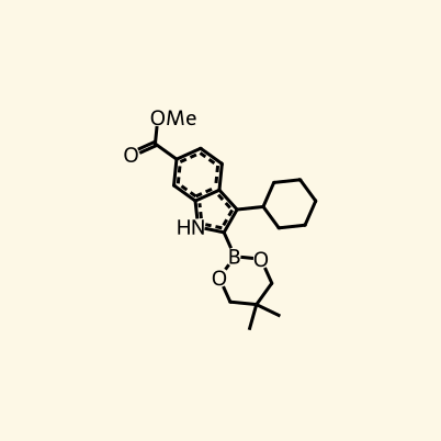 COC(=O)c1ccc2c(C3CCCCC3)c(B3OCC(C)(C)CO3)[nH]c2c1